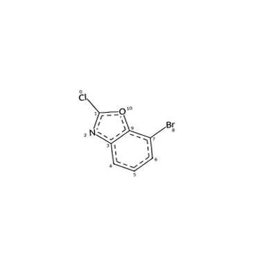 Clc1nc2cccc(Br)c2o1